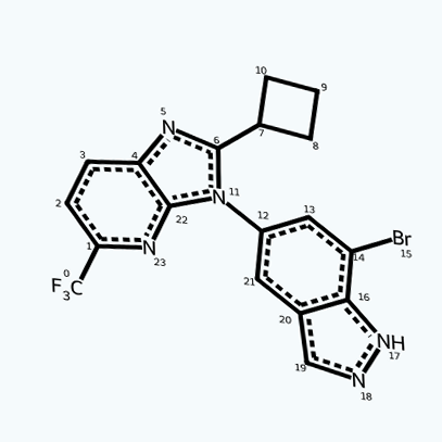 FC(F)(F)c1ccc2nc(C3CCC3)n(-c3cc(Br)c4[nH]ncc4c3)c2n1